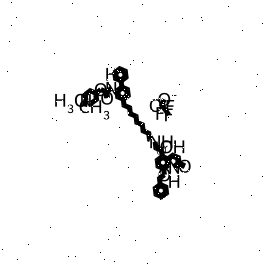 C[N+]1(C)CCC(OC(=O)Nc2cc(CCCCCCCCCNC[C@H](O)c3ccc(OCc4ccccc4)c4[nH]c(=O)ccc34)ccc2-c2ccccc2)CC1.O=C([O-])C(F)(F)F